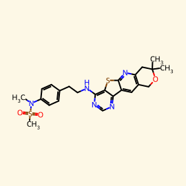 CN(c1ccc(CCNc2ncnc3c2sc2nc4c(cc23)COC(C)(C)C4)cc1)S(C)(=O)=O